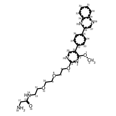 COc1nc(OCCOCCOCCNC(=O)CN)ncc1-c1ccc(-c2cnc3ccccc3n2)cc1